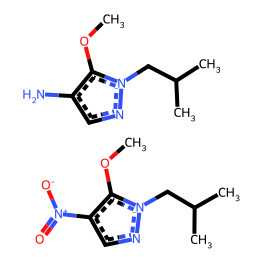 COc1c(N)cnn1CC(C)C.COc1c([N+](=O)[O-])cnn1CC(C)C